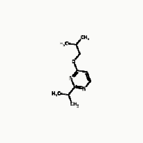 CC(C)COc1ccnc(C(C)C)n1